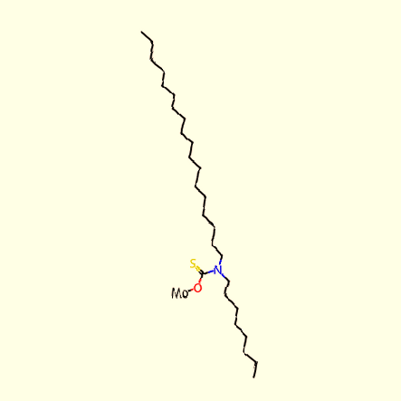 CCCCCCCCCCCCCCCCCCN(CCCCCCCC)C(=S)[O][Mo]